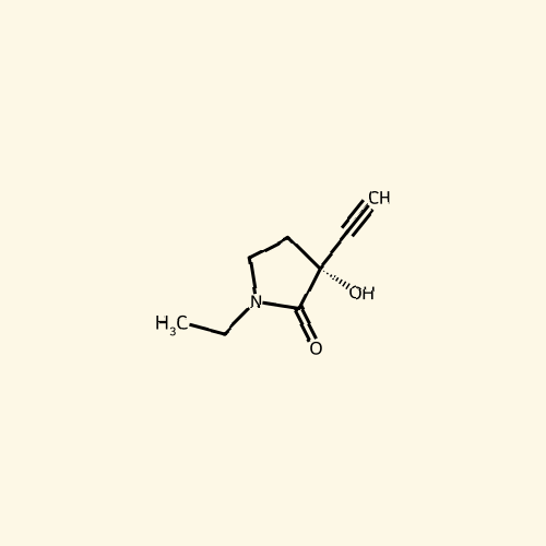 C#C[C@]1(O)CCN(CC)C1=O